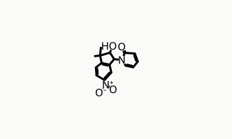 CC1(C)c2ccc([N+](=O)[O-])cc2C(n2ccccc2=O)C1O